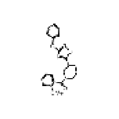 COc1ccccc1C(=O)N1CCC[C@H](c2nc(Oc3ccccc3)no2)C1